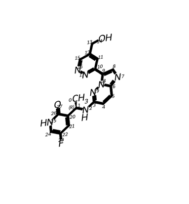 C[C@@H](Nc1ccc2ncc(-c3cc(CO)cnn3)n2n1)c1cc(F)c[nH]c1=O